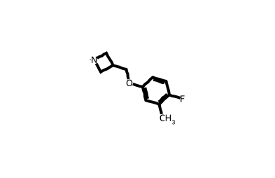 Cc1cc(OCC2C[N]C2)ccc1F